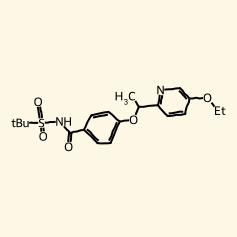 CCOc1ccc(C(C)Oc2ccc(C(=O)NS(=O)(=O)C(C)(C)C)cc2)nc1